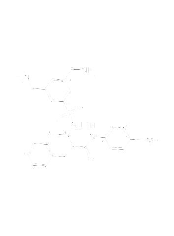 COc1ccc(N(C)C(=O)[C@H](Cc2ccccc2)N(NS(=O)(=O)c2cc(CN)cc(CN)c2)C(C)=O)cc1